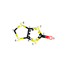 O=c1sc2c(s1)SCS2